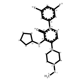 CSN1CCN(c2cnn(-c3cc(F)cc(F)c3)c(=O)c2OC2CCCC2)CC1